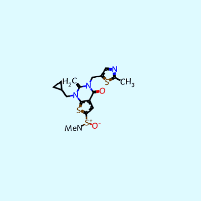 C=C1N(Cc2cnc(C)s2)C(=O)c2cc([S+]([O-])NC)sc2N1CC1CC1